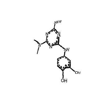 CNc1nc(Nc2ccc(O)c(O)c2)nc(N(C)C)n1